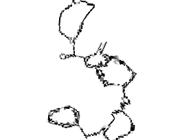 O=C(c1cc2cc(O[C@H]3CCN(Cc4ccccc4)C3)ccc2[nH]1)N1CCOCC1